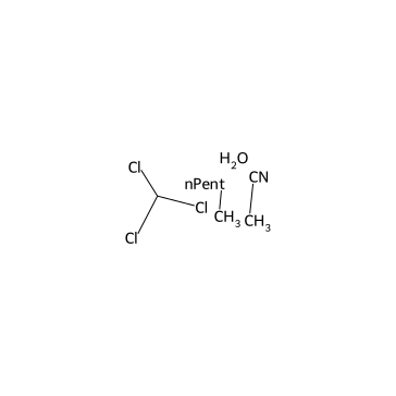 CC#N.CCCCCC.ClC(Cl)Cl.O